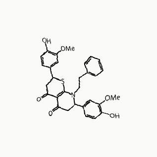 COc1cc(C2CC(=O)C3=C(S2)N(CCc2ccccc2)C(c2ccc(O)c(OC)c2)CC3=O)ccc1O